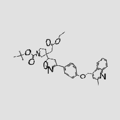 CCOC(=O)CC1(C2CC(c3ccc(OCc4cc(C)nc5ccccc45)cc3)=NO2)CCN(C(=O)OC(C)(C)C)C1